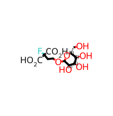 O=C(O)C(F)(CCOC1O[C@H](CO)[C@@H](O)[C@H](O)[C@@H]1O)C(=O)O